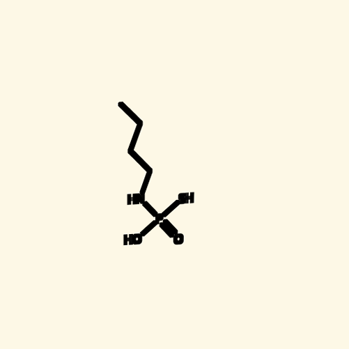 CCCCNP(=O)(O)S